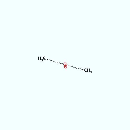 CCCCCCC=CCCCCCCCC(=O)OCCCCCCCCCCCCCCCC